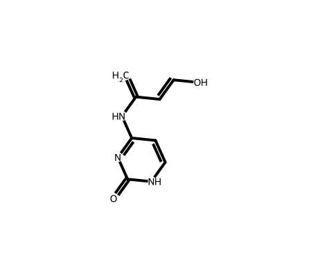 C=C(C=CO)Nc1cc[nH]c(=O)n1